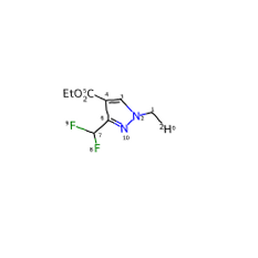 [2H]Cn1cc(C(=O)OCC)c(C(F)F)n1